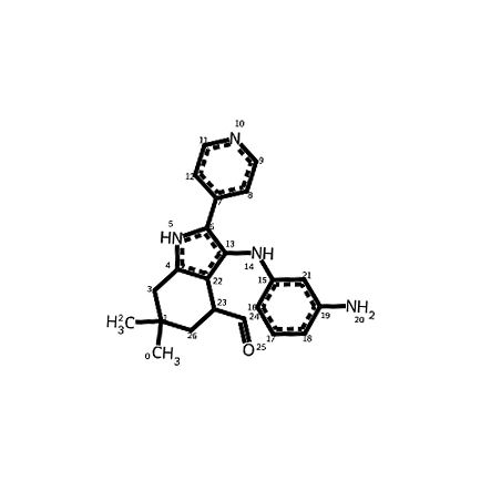 CC1(C)Cc2[nH]c(-c3ccncc3)c(Nc3cccc(N)c3)c2C(C=O)C1